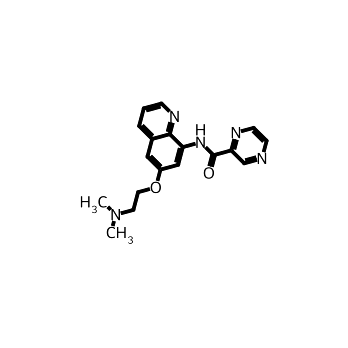 CN(C)CCOc1cc(NC(=O)c2cnccn2)c2ncccc2c1